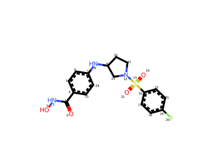 O=C(NO)c1ccc(NC2CCN(S(=O)(=O)c3ccc(F)cc3)C2)cc1